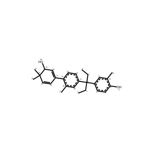 CCC(CC)(c1ccc(O)c(C)c1)c1ccc(C2=CC(O)C(C)(C)C=C2)c(C)c1